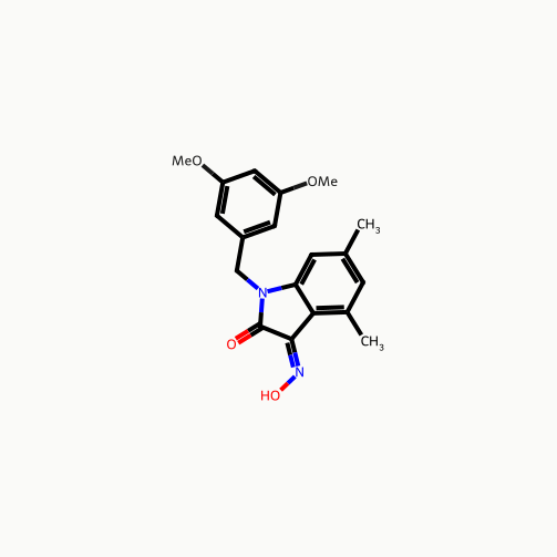 COc1cc(CN2C(=O)/C(=N\O)c3c(C)cc(C)cc32)cc(OC)c1